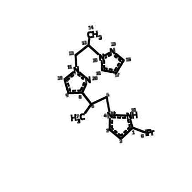 CC(C)c1cc[n+](CC(C)c2ccn(CC(C)n3cccn3)n2)[nH]1